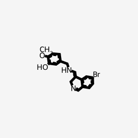 COc1ccc(CNC=C2CN=Cc3ccc(Br)cc32)cc1O